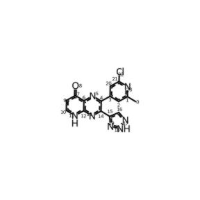 Cc1cc(-c2nc3c(=O)cc[nH]c3nc2-c2cn[nH]n2)cc(Cl)n1